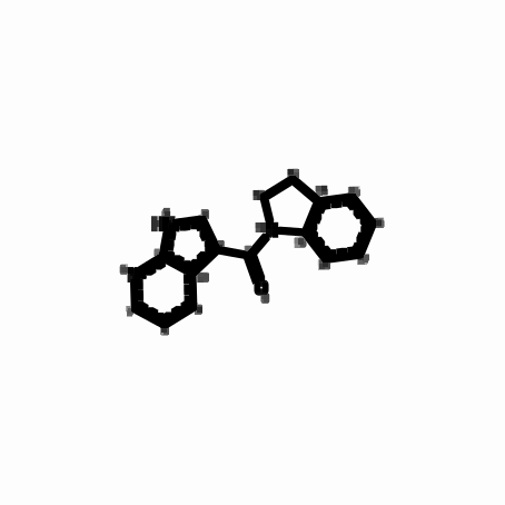 O=C(c1c[nH]c2ncccc12)N1CCc2ccccc21